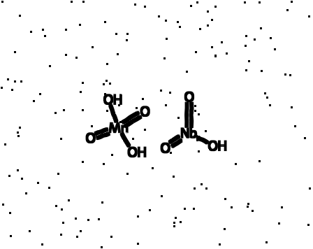 [O]=[Mn](=[O])([OH])[OH].[O]=[Nb](=[O])[OH]